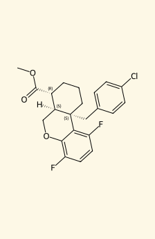 COC(=O)[C@@H]1CCC[C@@]2(Cc3ccc(Cl)cc3)c3c(F)ccc(F)c3OC[C@@H]12